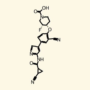 N#Cc1cc(-c2ccnc(NC(=O)C3CC3C#N)c2)ccc1O[C@H]1CCN(C(=O)O)C[C@H]1F